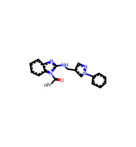 CCCC(=O)n1c(NCc2cnn(-c3ccccc3)c2)nc2ccccc21